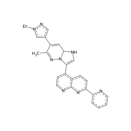 CCn1cc(C2=CC3NC=C(c4ccnc5nc(-c6ccccn6)ccc45)N3N=C2C)cn1